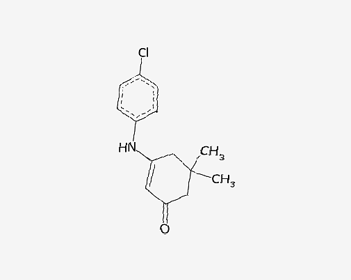 CC1(C)CC(=O)C=C(Nc2ccc(Cl)cc2)C1